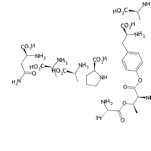 CC(C)[C@H](N)C(=O)O[C@H](C)[C@H](N)C(=O)Oc1ccc(C[C@H](N)C(=O)O)cc1.C[C@H](N)C(=O)O.C[C@H](N)C(=O)O.C[C@H](N)C(=O)O.NC(=O)C[C@H](N)C(=O)O.O=C(O)[C@@H]1CCCN1